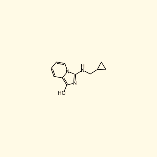 Oc1nc(NCC2CC2)n2ccccc12